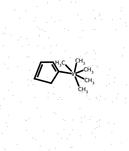 [CH3][Ir]([CH3])([CH3])([CH3])([CH3])[C]1=CC=CC1